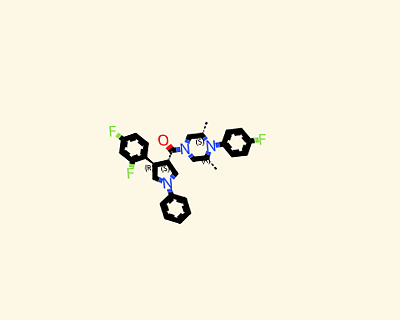 C[C@@H]1CN(C(=O)[C@@H]2CN(c3ccccc3)C[C@H]2c2ccc(F)cc2F)C[C@H](C)N1c1ccc(F)cc1